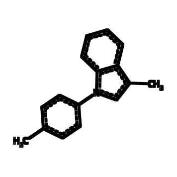 Cc1ccc(-n2cc(C)c3ccccc32)cc1